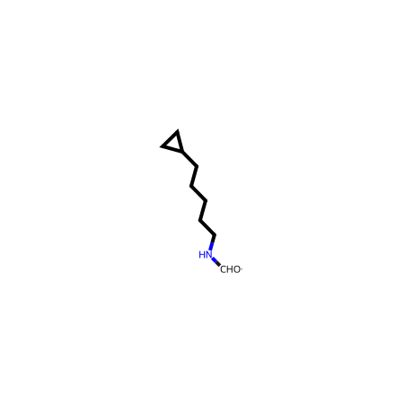 O=[C]NCCCCCC1CC1